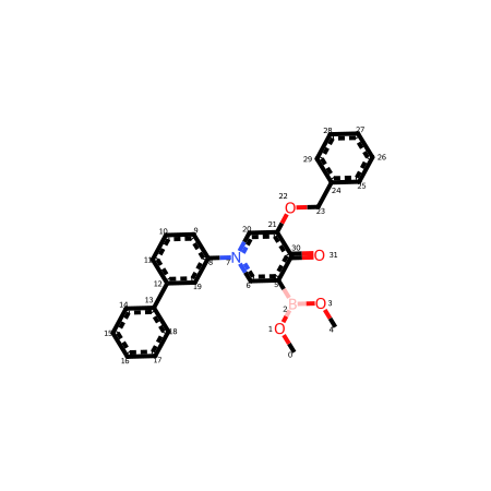 COB(OC)c1cn(-c2cccc(-c3ccccc3)c2)cc(OCc2ccccc2)c1=O